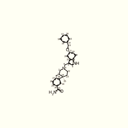 C[C@H]1CN(Cc2c[nH]c3ccc(OCc4ccccc4)cc23)CC[C@@]1(C)c1cccc(C(N)=O)c1